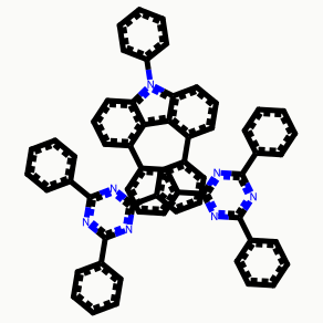 c1ccc(-c2nc(-c3ccccc3)nc(-c3cccc(-c4cccc5c4c4c(-c6cccc(-c7nc(-c8ccccc8)nc(-c8ccccc8)n7)c6)cccc4n5-c4ccccc4)c3)n2)cc1